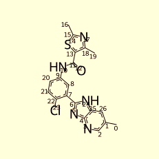 Cc1cnc2nc(-c3cc(NC(=O)c4sc(C)nc4C)ccc3Cl)[nH]c2c1